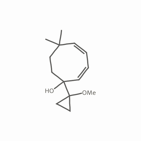 COC1(C2(O)C=CC=CC(C)(C)CC2)CC1